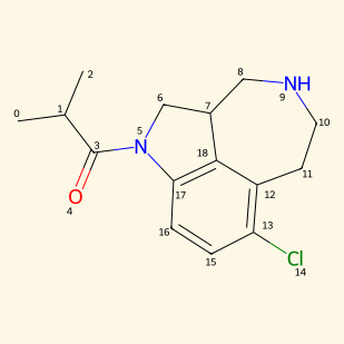 CC(C)C(=O)N1CC2CNCCc3c(Cl)ccc1c32